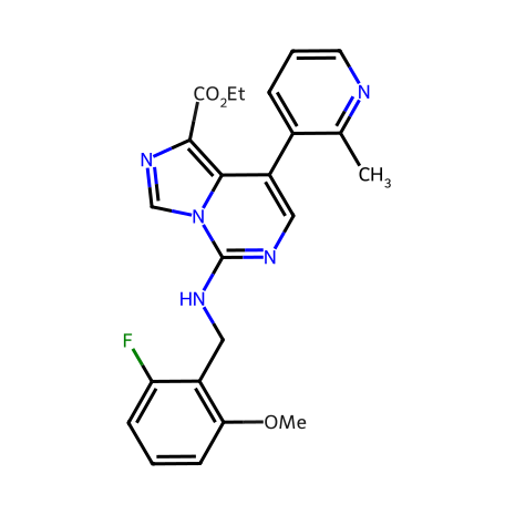 CCOC(=O)c1ncn2c(NCc3c(F)cccc3OC)ncc(-c3cccnc3C)c12